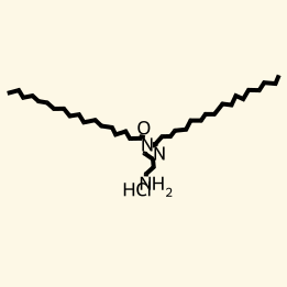 CCCCCCCCCCCCCCCCCC(=O)N1CC(CCN)N=C1CCCCCCCCCCCCCCCCC.Cl